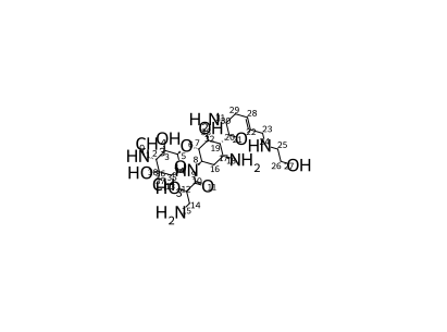 CN[C@@H]1[C@@H](O)[C@@H](O[C@H]2[C@H](NC(=O)[C@H](O)CN)C[C@H](N)C([C@H]3OC(CNCCO)=CC[C@H]3N)[C@@H]2O)OCC1(C)O